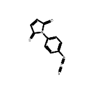 O=C1C=CC(=O)N1c1ccc(N=C=S)cc1